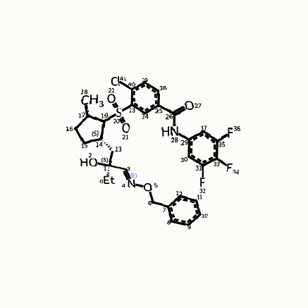 CC[C@@](O)(/C=N/OCc1ccccc1)C[C@@H]1CCC(C)C1S(=O)(=O)c1cc(C(=O)Nc2cc(F)c(F)c(F)c2)ccc1Cl